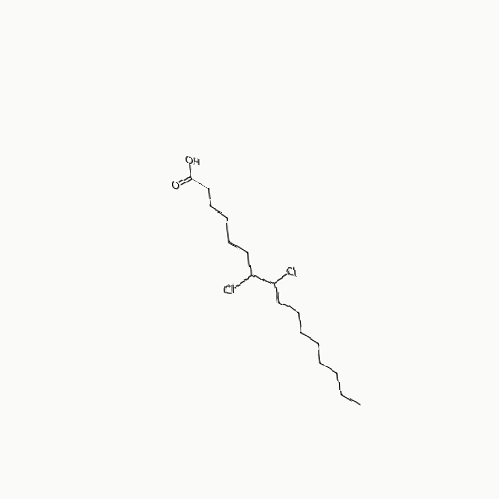 CCCCCCCCC(Cl)C(Cl)CCCCCC(=O)O